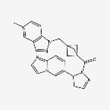 Cc1ccc2c(cnn2CC23CC(C(=O)N4N=CCC4c4ccc5nccn5c4)(C2)C3)c1